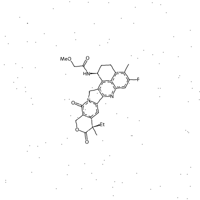 CC[C@@]1(C)C(=O)OCc2c1cc1n(c2=O)Cc2c-1nc1cc(F)c(C)c3c1c2[C@@H](NC(=O)COC)CC3